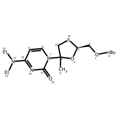 CCCCOC[C@H]1OC(C)(n2ccc(N(CC)CC)nc2=O)CS1